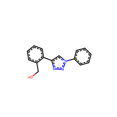 OCc1ccccc1-c1cn(-c2ccccc2)nn1